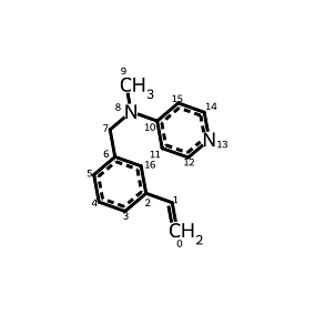 C=Cc1cccc(CN(C)c2ccncc2)c1